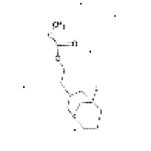 COC(=O)OCCC1CC2CCCC(I)(C2)C1